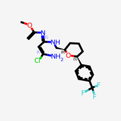 C=C(/N=C(\C=C(/N)Cl)NC[C@H]1CCC[C@@H](c2ccc(C(F)(F)F)cc2)O1)OC